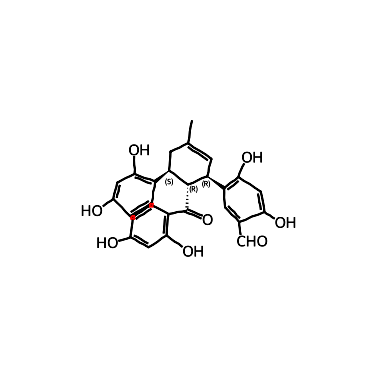 CC1=C[C@@H](c2cc(C=O)c(O)cc2O)[C@H](C(=O)c2ccc(O)cc2O)[C@@H](c2ccc(O)cc2O)C1